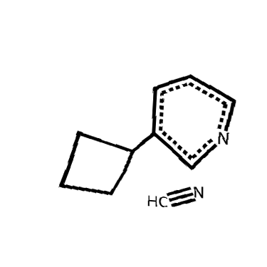 C#N.c1cncc(C2CCC2)c1